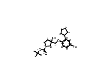 CC(C)(C)OC(=O)N1CCC(F)(COc2ccc(F)cc2C2CCCC2)C1